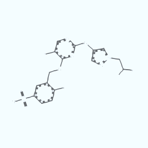 CC(O)Cn1cc(Nc2ncc(Cl)c(NCc3cc(S(N)(=O)=O)ccc3F)n2)cn1